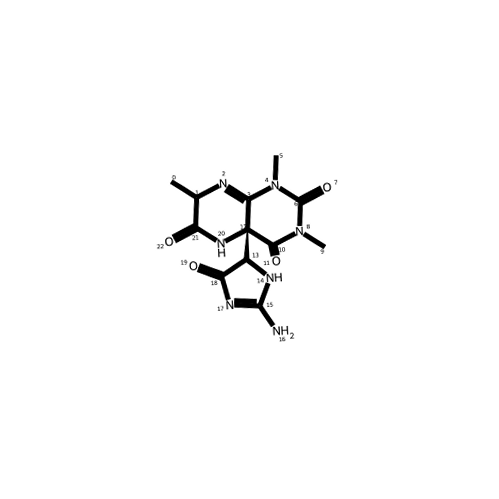 CC1N=C2N(C)C(=O)N(C)C(=O)[C@]2(C2NC(N)=NC2=O)NC1=O